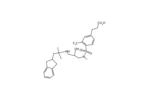 CN(CC(O)CNC(C)(C)CC1Cc2ccccc2C1)S(=O)(=O)c1ccc(CCC(=O)O)cc1C(F)(F)F